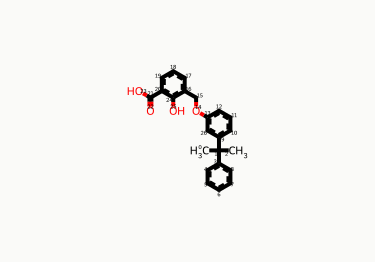 CC(C)(c1ccccc1)c1cccc(OCc2cccc(C(=O)O)c2O)c1